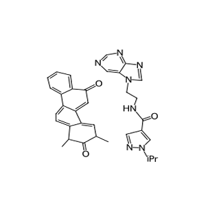 CC(C)n1cc(C(=O)NCCn2cnc3ncncc32)cn1.CC1C=c2c(ccc3c2=CC(=O)c2ccccc2-3)C(C)C1=O